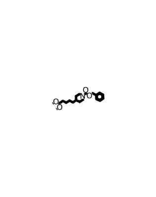 COC(CCCCC1CCN(C(=O)OCc2ccccc2)CC1)OC